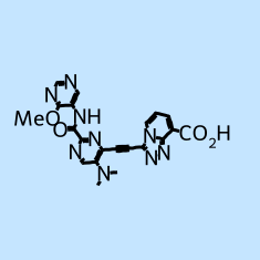 COc1ncncc1NC(=O)c1ncc(N(C)C)c(C#Cc2nnc3c(C(=O)O)cccn23)n1